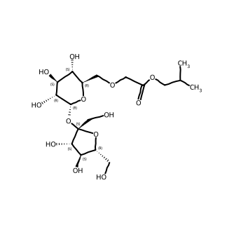 CC(C)COC(=O)COC[C@H]1O[C@H](O[C@]2(CO)O[C@H](CO)[C@@H](O)[C@@H]2O)[C@H](O)[C@@H](O)[C@@H]1O